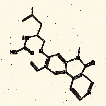 C=Cc1cc2c3ccncc3c(=O)n(C)c2cc1OCC(CC(C)C)NC(=O)O